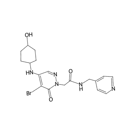 O=C(Cn1ncc(NC2CCC(O)CC2)c(Br)c1=O)NCc1ccncc1